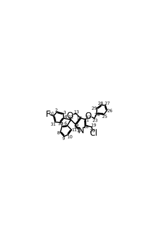 Fc1ccc(C2(c3ccccc3)OCc3c2cnc(CCl)c3OCc2ccccc2)cc1